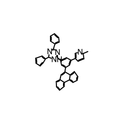 Cc1ccc(-c2cc(C3=NC(c4ccccc4)=NC(c4ccccc4)N3)cc(-c3cc4ccccc4c4ccccc34)c2)cn1